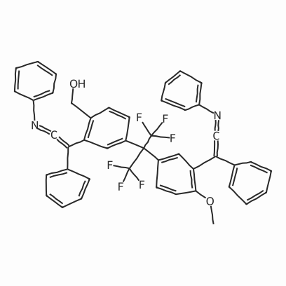 COc1ccc(C(c2ccc(CO)c(C(=C=Nc3ccccc3)c3ccccc3)c2)(C(F)(F)F)C(F)(F)F)cc1C(=C=Nc1ccccc1)c1ccccc1